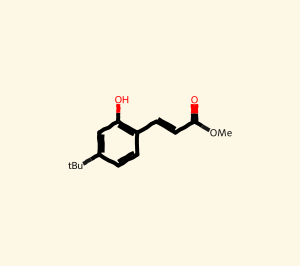 COC(=O)C=Cc1ccc(C(C)(C)C)cc1O